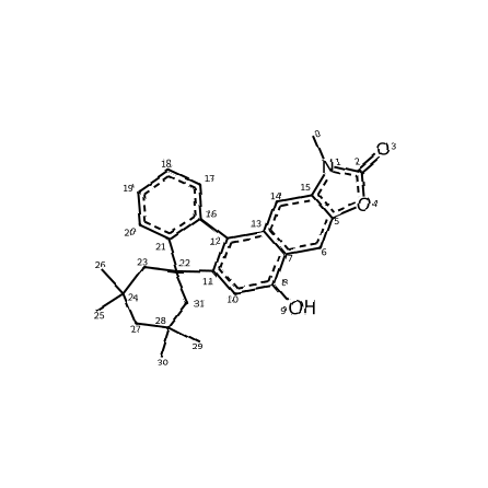 Cn1c(=O)oc2cc3c(O)cc4c(c3cc21)-c1ccccc1C41CC(C)(C)CC(C)(C)C1